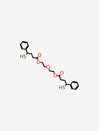 O=C(CCC(S)c1ccccc1)OCCOCCOC(=O)CCC(S)c1ccccc1